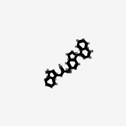 O=C(Cc1c[nH]c2ccccc12)Nc1ccc2c(c1)CCN2c1ccnc2ccccc12